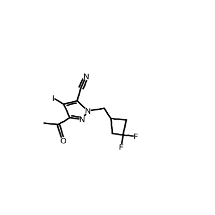 CC(=O)c1nn(CC2CC(F)(F)C2)c(C#N)c1I